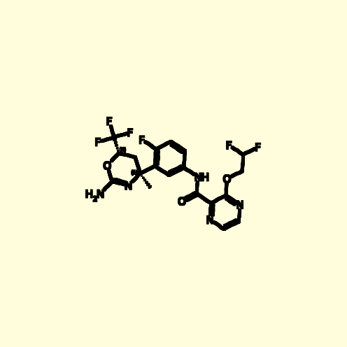 C[C@@]1(c2cc(NC(=O)c3nccnc3OCC(F)F)ccc2F)C[C@@H](C(F)(F)F)OC(N)=N1